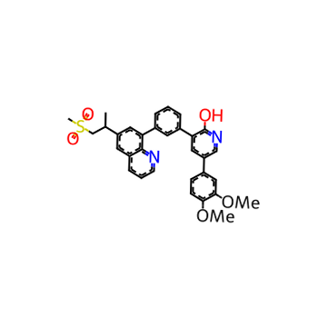 COc1ccc(-c2cnc(O)c(-c3cccc(-c4cc(C(C)CS(C)(=O)=O)cc5cccnc45)c3)c2)cc1OC